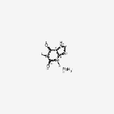 Cn1c(=O)c2[nH]cnc2n(C)c1=O.[PbH2]